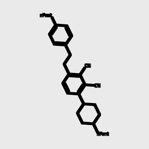 CCCCCc1ccc(CCc2ccc(C3CCC(CCCCC)CC3)c(C#N)c2C#N)cc1